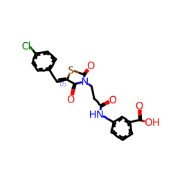 O=C(CCN1C(=O)S/C(=C\c2ccc(Cl)cc2)C1=O)Nc1cccc(C(=O)O)c1